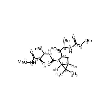 CCCCC(NC(=O)[C@@H]1[C@@H]2[C@H](CN1C(=O)[C@@H](NC(=O)OC(C)(C)C)C(C)(C)C)C2(C)C)C(=O)C(=O)NOC